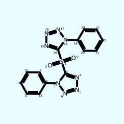 O=S(=O)(c1nnnn1-c1ccccc1)c1nnnn1-c1ccccc1